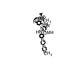 COc1cc(N2CCC(N3CCN(C)CC3)CC2)ccc1Nc1ncc(Br)c(Nc2ccc3nccnc3c2N(C)S(=O)(=O)C2CC2)n1